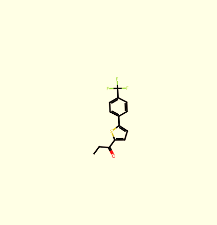 CCC(=O)c1ccc(-c2ccc(C(F)(F)F)cc2)s1